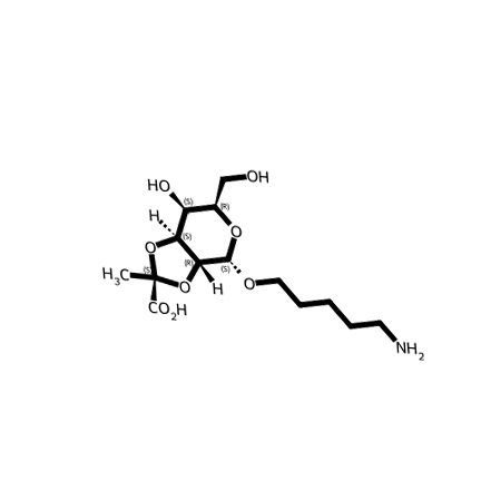 C[C@@]1(C(=O)O)O[C@H]2[C@@H](OCCCCCN)O[C@H](CO)[C@H](O)[C@@H]2O1